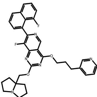 Fc1c(-c2cccc3cccc(F)c23)ncc2c(OCCCc3cccnc3)nc(OCC34CCCN3CCC4)nc12